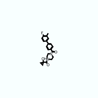 Cc1cc(-c2ccc(C(=O)N3CCN(C(=O)C4(O)CC4)CC3)cc2)ccc1F